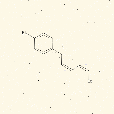 CC/C=C\C=C/Cc1ccc(CC)cc1